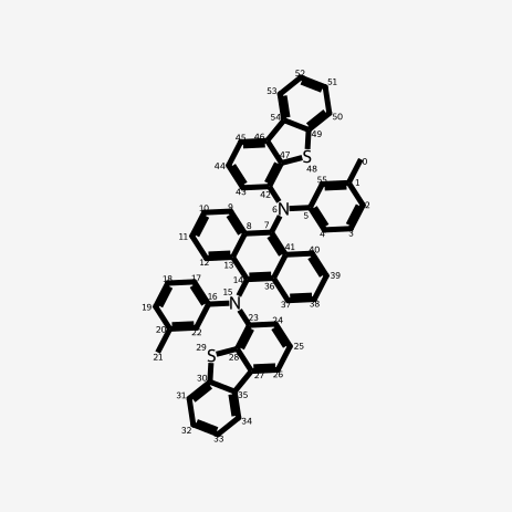 Cc1cccc(N(c2c3ccccc3c(N(c3cccc(C)c3)c3cccc4c3sc3ccccc34)c3ccccc23)c2cccc3c2sc2ccccc23)c1